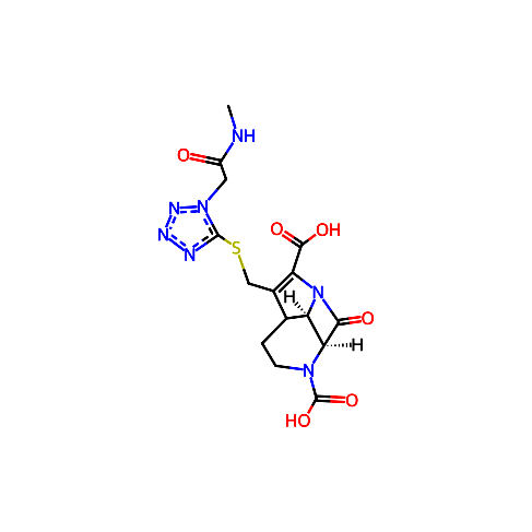 CNC(=O)Cn1nnnc1SCC1=C(C(=O)O)N2C(=O)[C@@H]3[C@H]2C1CCN3C(=O)O